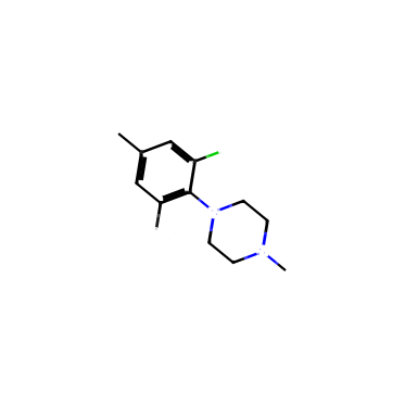 Cc1cc(Cl)c(N2CCN(C)CC2)c(C(F)(F)F)c1